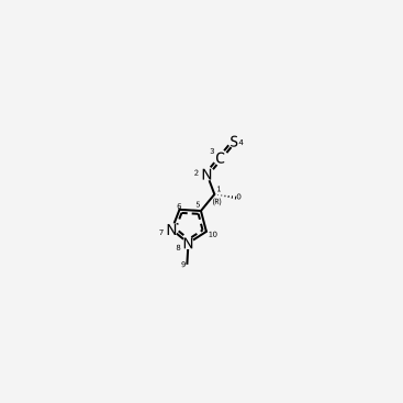 C[C@@H](N=C=S)c1cnn(C)c1